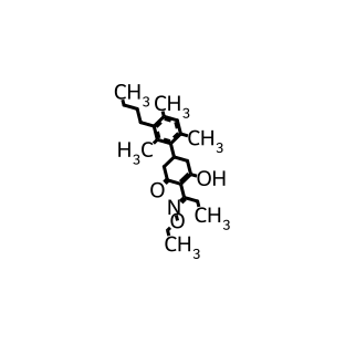 CCCCc1c(C)cc(C)c(C2CC(=O)C(C(CC)=NOCC)=C(O)C2)c1C